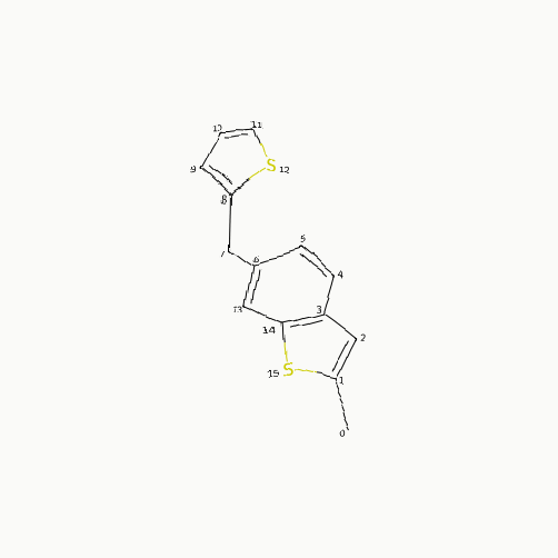 Cc1cc2ccc(Cc3cccs3)cc2s1